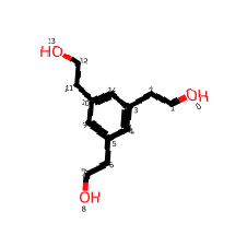 OCCc1cc(CCO)cc(CCO)c1